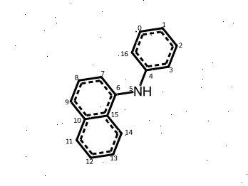 [c]1cccc(Nc2cccc3ccccc23)c1